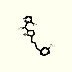 CCc1ccsc1C(O)C1CCC(CCCc2cccc(O)c2)N1